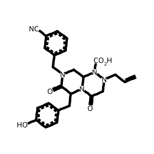 C=CCN1CC(=O)N2C(Cc3ccc(O)cc3)C(=O)N(Cc3cccc(C#N)c3)CC2N1C(=O)O